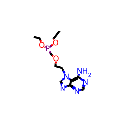 CCOP(COCCn1cnc2ncnc(N)c21)OCC